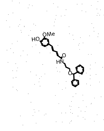 COc1cc(/C=C/C=C/C(=O)NCCCOC(c2ccccc2)c2ccccc2)ccc1O